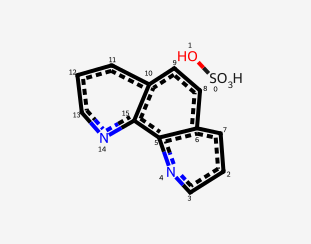 O=S(=O)(O)O.c1cnc2c(c1)ccc1cccnc12